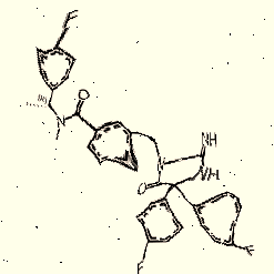 C[C@H](c1ccc(F)cc1)N(C)C(=O)c1cccc(CN2C(=N)NC(c3ccc(F)cc3)(c3ccc(F)cc3)C2=O)c1